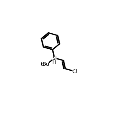 CC(C)(C)[SiH](C=CCl)c1ccccc1